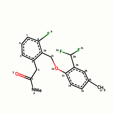 CNC(=O)Cc1cccc(F)c1COc1ccc(C)cc1C(F)F